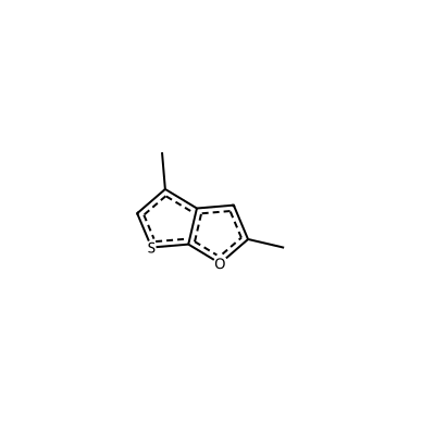 Cc1cc2c(C)csc2o1